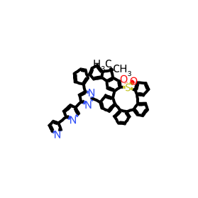 CC1(C)c2ccccc2-c2cc3c(cc21)S(=O)(=O)c1ccccc1-c1ccccc1-c1ccccc1-c1ccc(-c2nc(-c4ccccc4)cc(-c4ccc(-c5cccnc5)nc4)n2)cc1-3